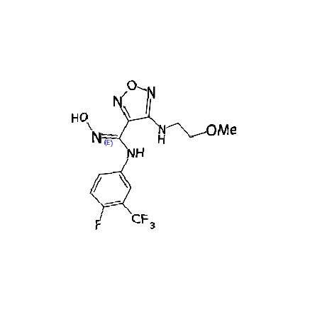 COCCNc1nonc1/C(=N\O)Nc1ccc(F)c(C(F)(F)F)c1